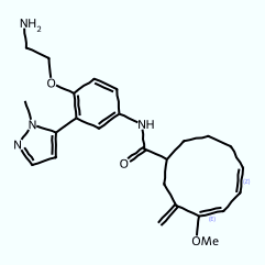 C=C1CC(C(=O)Nc2ccc(OCCN)c(-c3ccnn3C)c2)CCC/C=C\C=C/1OC